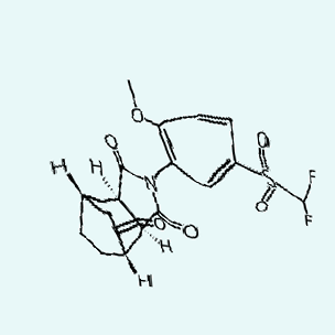 COc1ccc(S(=O)(=O)C(F)F)cc1N1C(=O)[C@@H]2[C@H]3CC[C@H](C(=O)C3)[C@@H]2C1=O